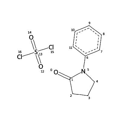 O=C1CCCN1c1ccccc1.O=S(=O)(Cl)Cl